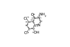 Nn1cnc2c(O)c(Cl)cc(Cl)c2c1=O